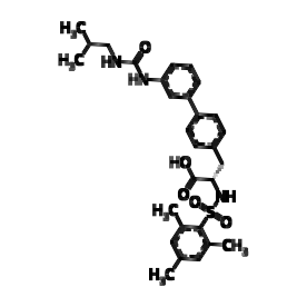 Cc1cc(C)c(S(=O)(=O)N[C@@H](Cc2ccc(-c3cccc(NC(=O)NCC(C)C)c3)cc2)C(=O)O)c(C)c1